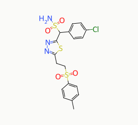 Cc1ccc(S(=O)(=O)CCc2nnc(C(c3ccc(Cl)cc3)S(N)(=O)=O)s2)cc1